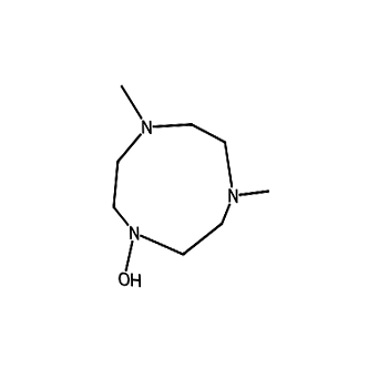 CN1CCN(C)CCN(O)CC1